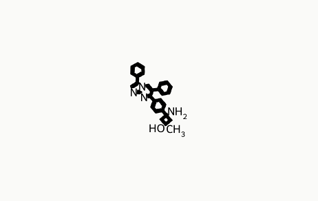 CC1(O)CC(N)(c2ccc(-c3nc4ncc(-c5ccccc5)n4cc3-c3ccccc3)cc2)C1